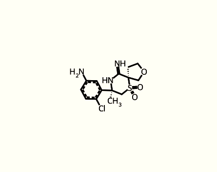 C[C@@]1(c2cc(N)ccc2Cl)CS(=O)(=O)[C@@]2(CCOC2)C(=N)N1